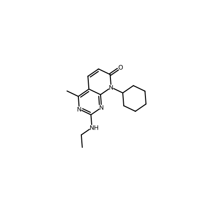 CCNc1nc(C)c2ccc(=O)n(C3CCCCC3)c2n1